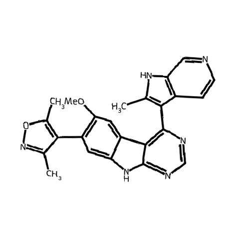 COc1cc2c(cc1-c1c(C)noc1C)[nH]c1ncnc(-c3c(C)[nH]c4cnccc34)c12